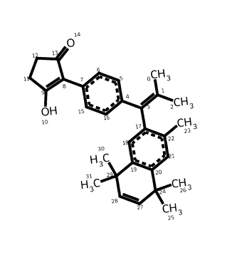 CC(C)=C(c1ccc(C2=C(O)CCC2=O)cc1)c1cc2c(cc1C)C(C)(C)C=CC2(C)C